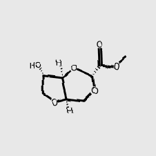 COC(=O)[C@@H]1OC[C@H]2OC[C@H](O)[C@H]2O1